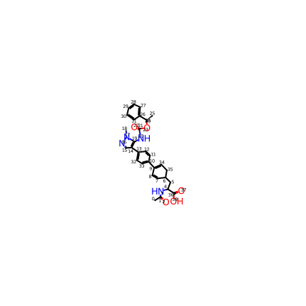 CC(=O)NC(CC1C=CC(c2ccc(-c3cnn(C)c3NC(=O)O[C@H](C)c3ccccc3)cc2)=CC1)C(=O)O